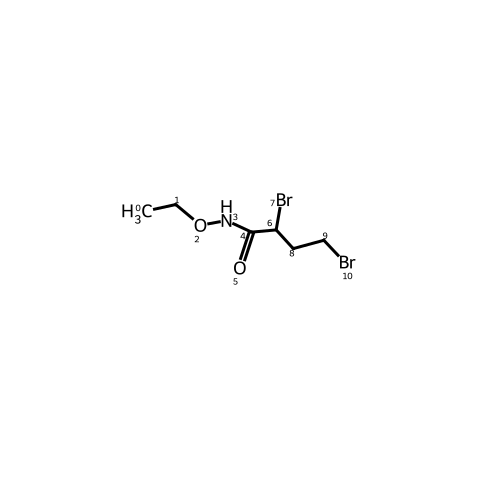 CCONC(=O)C(Br)CCBr